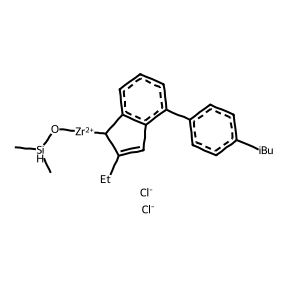 CCC1=Cc2c(-c3ccc(C(C)CC)cc3)cccc2[CH]1[Zr+2][O][SiH](C)C.[Cl-].[Cl-]